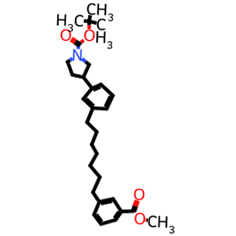 COC(=O)c1cccc(CCCCCCCc2cccc(C3CCN(C(=O)OC(C)(C)C)C3)c2)c1